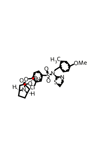 COc1ccc(CN(c2nccs2)S(=O)(=O)c2ccc(O[C@H]3C[C@H]4CC[C@@H](C3)N4C(=O)OC(C)(C)C)c(Cl)c2)c(C)c1